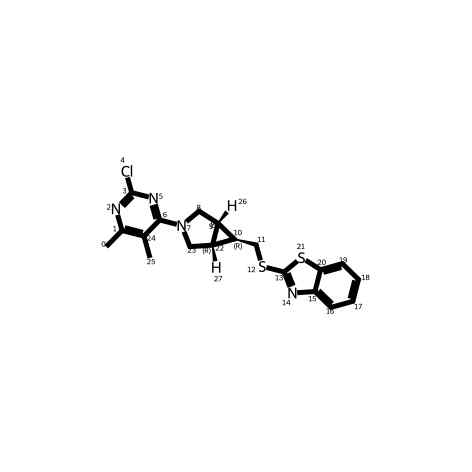 Cc1nc(Cl)nc(N2C[C@@H]3[C@@H](CSc4nc5ccccc5s4)[C@@H]3C2)c1C